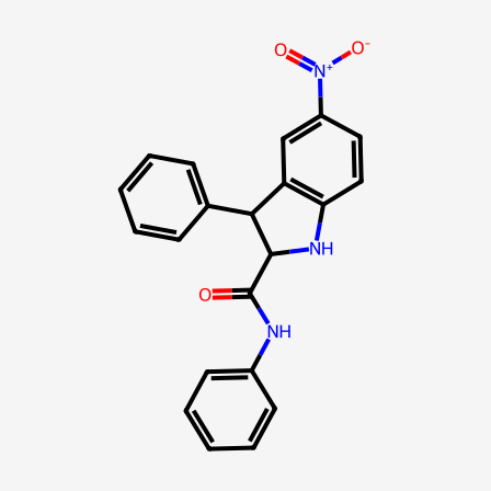 O=C(Nc1ccccc1)C1Nc2ccc([N+](=O)[O-])cc2C1c1ccccc1